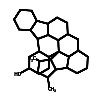 CC1CC(C)C2C1C1CCCC3CC4CCC5C6CCCCC6C6C7CC(O)CCC7C2(C31)C4C56